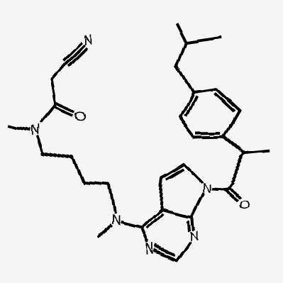 CC(C)Cc1ccc(C(C)C(=O)n2ccc3c(N(C)CCCCN(C)C(=O)CC#N)ncnc32)cc1